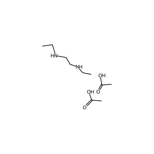 CC(=O)O.CC(=O)O.CCNCCNCC